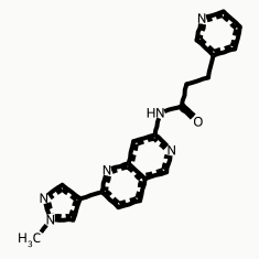 Cn1cc(-c2ccc3cnc(NC(=O)CCc4cccnc4)cc3n2)cn1